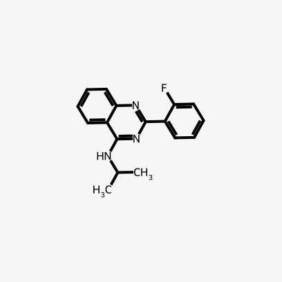 CC(C)Nc1nc(-c2ccccc2F)nc2ccccc12